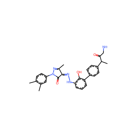 CC1=NN(c2ccc(C)c(C)c2)C(=O)/C1=N\Nc1cccc(-c2ccc(C(C)C(=O)C[NH])cc2)c1O